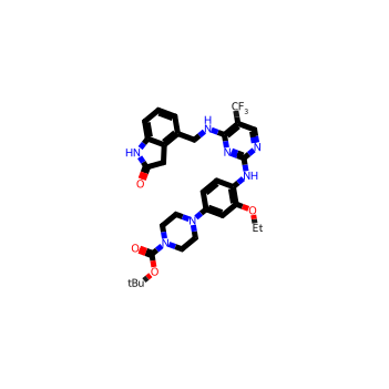 CCOc1cc(N2CCN(C(=O)OC(C)(C)C)CC2)ccc1Nc1ncc(C(F)(F)F)c(NCc2cccc3c2CC(=O)N3)n1